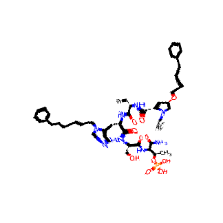 CC(=O)N1C[C@H](OCCCCc2ccccc2)C[C@H]1C(=O)N[C@@H](CC(C)C)C(=O)N[C@@H](Cc1cncn1CCCCCCc1ccccc1)C(=O)N[C@@H](CO)C(=O)NC(C(N)=O)[C@@H](C)OP(=O)(O)O